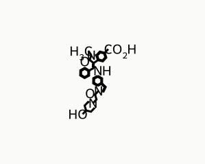 CN1C(=O)C(=C(Nc2ccc3c(ccn3C(=O)CN3CCC(O)CC3)c2)c2ccccc2)c2ccc(C(=O)O)cc21